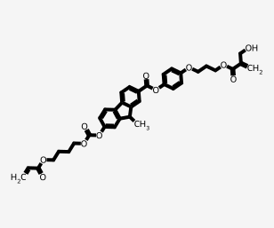 C=CC(=O)OCCCCOC(=O)Oc1ccc2c(c1)C(C)c1cc(C(=O)Oc3ccc(OCCCOC(=O)C(=C)CO)cc3)ccc1-2